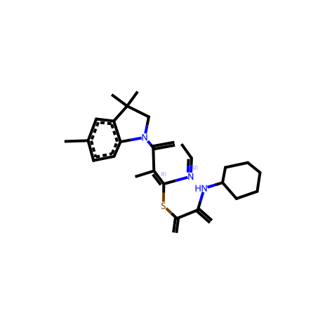 C=C(NC1CCCCC1)C(=C)SC(/N=C\C)=C(\C)C(=C)N1CC(C)(C)c2cc(C)ccc21